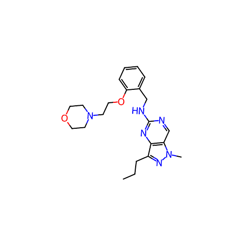 CCCc1nn(C)c2cnc(NCc3ccccc3OCCN3CCOCC3)nc12